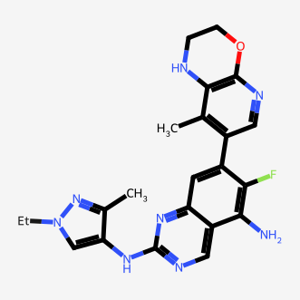 CCn1cc(Nc2ncc3c(N)c(F)c(-c4cnc5c(c4C)NCCO5)cc3n2)c(C)n1